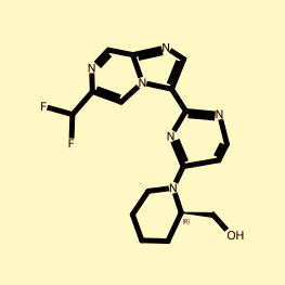 OC[C@H]1CCCCN1c1ccnc(-c2cnc3cnc(C(F)F)cn23)n1